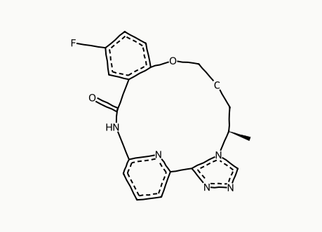 C[C@@H]1CCCOc2ccc(F)cc2C(=O)Nc2cccc(n2)-c2nncn21